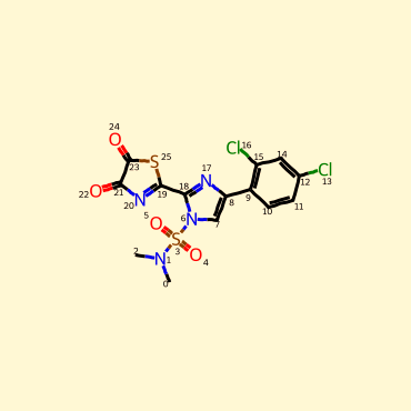 CN(C)S(=O)(=O)n1cc(-c2ccc(Cl)cc2Cl)nc1C1=NC(=O)C(=O)S1